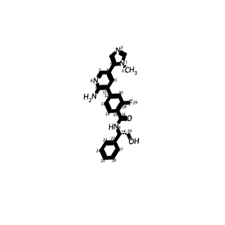 Cn1cncc1-c1cnc(N)c(-c2ccc(C(=O)N[C@H](CO)c3ccccc3)c(F)c2)c1